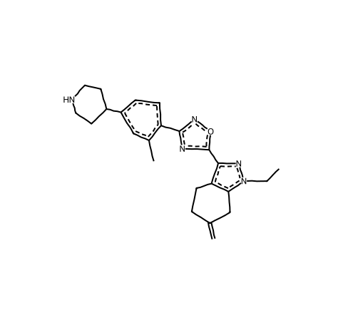 C=C1CCc2c(-c3nc(-c4ccc(C5CCNCC5)cc4C)no3)nn(CC)c2C1